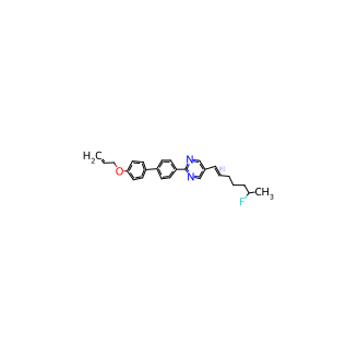 C=CCOc1ccc(-c2ccc(-c3ncc(/C=C/CCCC(C)F)cn3)cc2)cc1